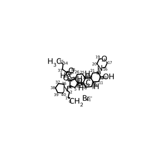 C=CC[N+]1([C@H]2C[C@H]3[C@@H]4CC[C@H]5C[C@H](O)[C@@H](N6CCOCC6)C[C@]5(C)[C@H]4CC[C@]3(C)[C@H]2OC(=O)CCC)CCCCC1.[Br-]